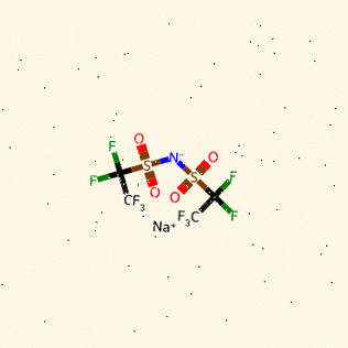 O=S(=O)([N-]S(=O)(=O)C(F)(F)C(F)(F)F)C(F)(F)C(F)(F)F.[Na+]